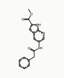 COC(=O)c1cc2cc(NC(=O)Cc3ccccc3)cnc2[nH]1